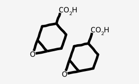 O=C(O)C1CCC2OC2C1.O=C(O)C1CCC2OC2C1